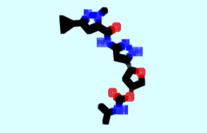 CC(C)NC(=O)O[C@H]1CO[C@@H](c2cc(NC(=O)c3cc(C4CC4)nn3C)n[nH]2)C1